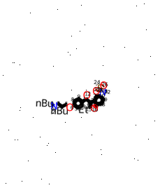 CCCCN(CCCC)CCCOc1ccc(C(=O)c2c(CC)oc3ccc(N(C)S(C)(=O)=O)cc23)cc1